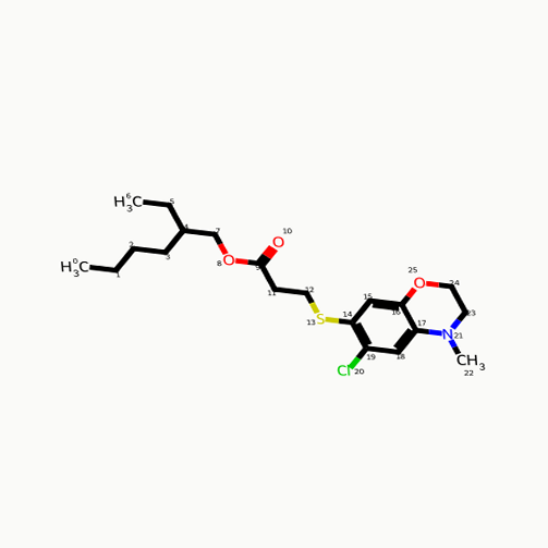 CCCCC(CC)COC(=O)CCSc1cc2c(cc1Cl)N(C)CCO2